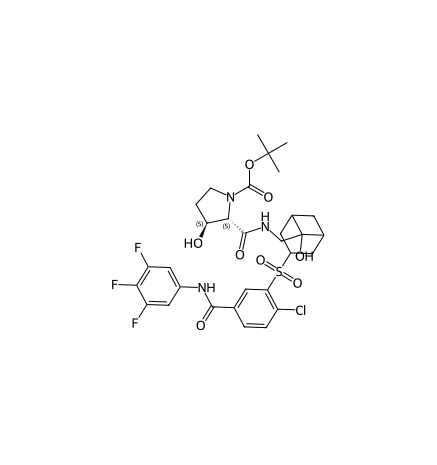 CC(C)(C)OC(=O)N1CC[C@H](O)[C@H]1C(=O)NCC1(O)C2CC1CC(S(=O)(=O)c1cc(C(=O)Nc3cc(F)c(F)c(F)c3)ccc1Cl)C2